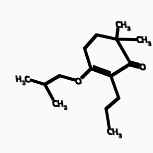 CCCC1=C(OCC(C)C)CCC(C)(C)C1=O